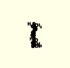 CN(C)C(=O)c1cccc(-c2ccc3cnc(CNC(=O)c4ccc5c(c4)[C@](C)(C#N)COC5)cc3n2)n1